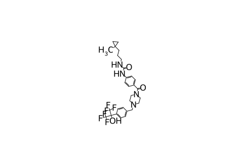 CC1(CCCNC(=O)Nc2ccc(C(=O)N3CCN(Cc4ccc(C(O)(C(F)(F)F)C(F)(F)F)cc4)CC3)cc2)CC1